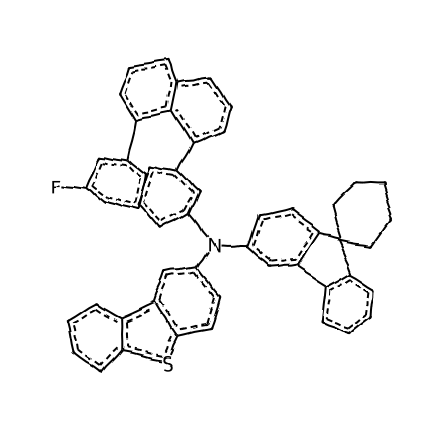 Fc1cccc(-c2cccc3cccc(-c4cccc(N(c5ccc6c(c5)-c5ccccc5C65CCCCC5)c5ccc6sc7ccccc7c6c5)c4)c23)c1